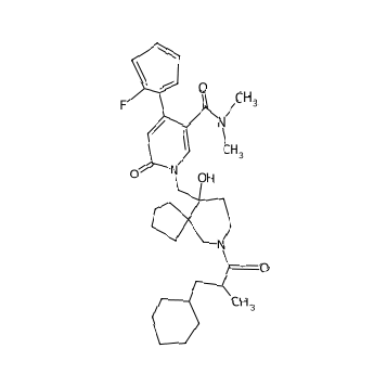 CC(CC1CCCCC1)C(=O)N1CCC(O)(Cn2cc(C(=O)N(C)C)c(-c3ccccc3F)cc2=O)C2(CCCC2)C1